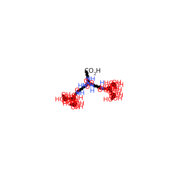 O=C(O)CCCCCNC(=O)CN(CC(=O)NCCCCCC(=O)NCCOC1OC(COC2OC(CO)C(O)C(O)C2O)C(O)C(OC2OC(CO)C(O)C(O)C2O)C1O)CC(=O)NCCCCCC(=O)NCCOC1OC(COC2OC(CO)C(O)C(O)C2O)C(O)C(OC2OC(CO)C(O)C(O)C2O)C1O